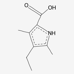 CCc1c(C)[nH]c(C(=O)O)c1C